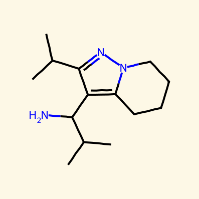 CC(C)c1nn2c(c1C(N)C(C)C)CCCC2